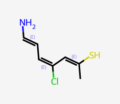 C\C(S)=C/C(Cl)=C\C=C\N